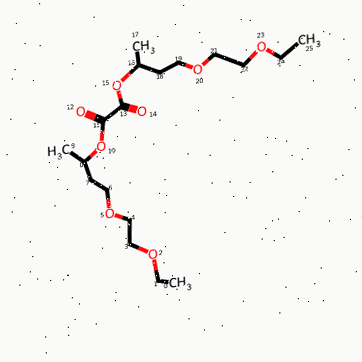 CCOCCOCCC(C)OC(=O)C(=O)OC(C)CCOCCOCC